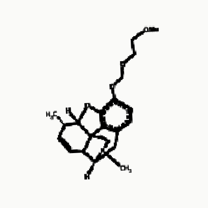 COCCOCOc1ccc2c3c1O[C@H]1[C@@H](C)C=CC4[C@@H](C2)N(C)CC[C@@]341